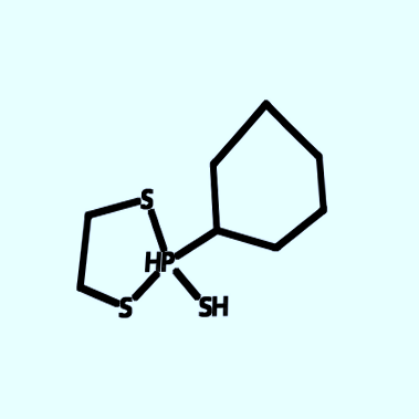 S[PH]1(C2CCCCC2)SCCS1